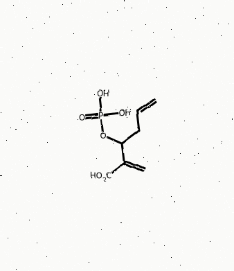 C=CCC(OP(=O)(O)O)C(=C)C(=O)O